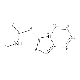 CNC(C)Cc1ccc2ccccn12